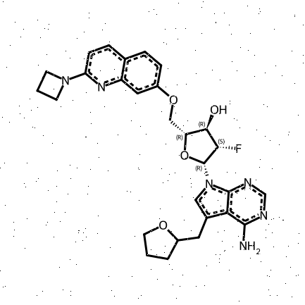 Nc1ncnc2c1c(CC1CCCO1)cn2[C@@H]1O[C@H](COc2ccc3ccc(N4CCC4)nc3c2)[C@@H](O)[C@@H]1F